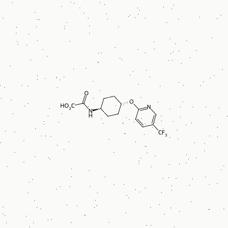 O=C(O)C(=O)N[C@H]1CC[C@H](Oc2ccc(C(F)(F)F)cn2)CC1